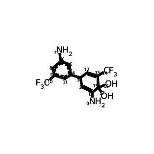 NC1=CC(c2cc(N)cc(C(F)(F)F)c2)C=C(C(F)(F)F)C1(O)O